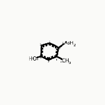 Cc1cc(O)ccc1[AsH2]